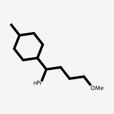 CCCC(CCCOC)C1CCC(C)CC1